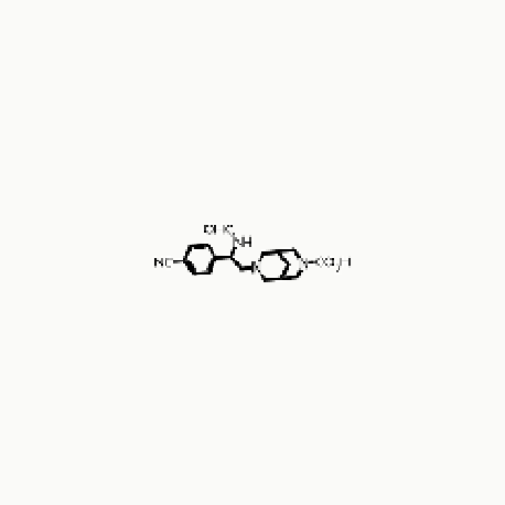 N#Cc1ccc(C(CN2CC3CC(C2)CN(C(=O)O)C3)NC=O)cc1